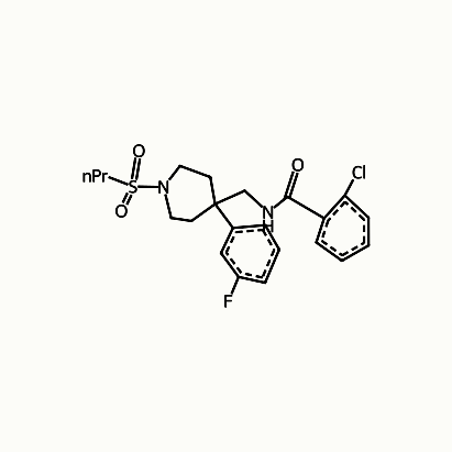 CCCS(=O)(=O)N1CCC(CNC(=O)c2ccccc2Cl)(c2cccc(F)c2)CC1